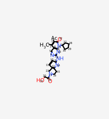 CC(=O)c1c(C)c2cnc(Nc3ccc4c(n3)CCN(C(=O)CO)C4)nc2n(C2CCCC2)c1=O